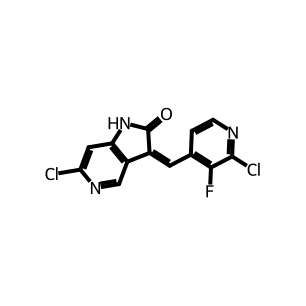 O=C1Nc2cc(Cl)ncc2C1=Cc1ccnc(Cl)c1F